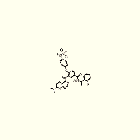 CC(C)c1ccc2c(Nc3cc(C(=O)NC(C)c4ccccc4F)ccc3Sc3ccc(NS(C)(=O)=O)cc3)ncnc2n1